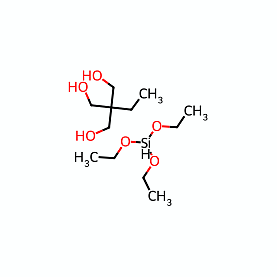 CCC(CO)(CO)CO.CCO[SiH](OCC)OCC